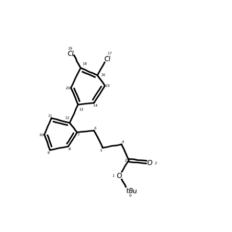 CC(C)(C)OC(=O)CCCc1ccccc1-c1ccc(Cl)c(Cl)c1